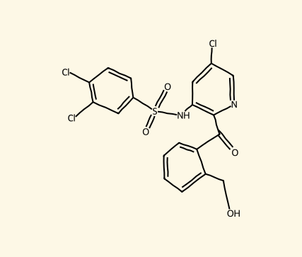 O=C(c1ccccc1CO)c1ncc(Cl)cc1NS(=O)(=O)c1ccc(Cl)c(Cl)c1